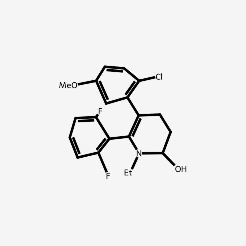 CCN1C(c2c(F)cccc2F)=C(c2cc(OC)ccc2Cl)CCC1O